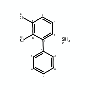 Clc1cccc(-c2ccccc2)c1Cl.[SiH4]